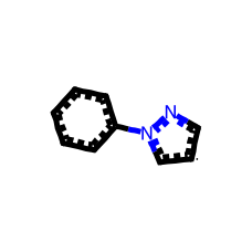 [c]1cnn(-c2ccccc2)c1